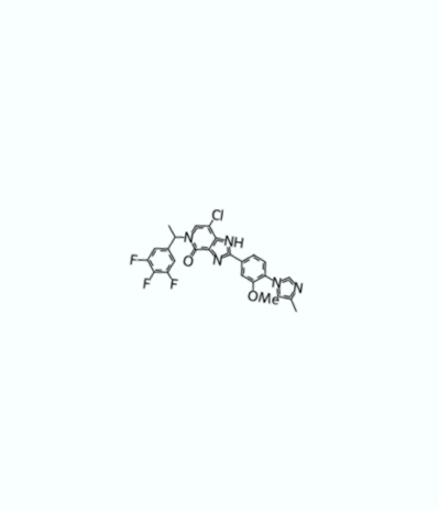 COc1cc(-c2nc3c(=O)n(C(C)c4cc(F)c(F)c(F)c4)cc(Cl)c3[nH]2)ccc1-n1cnc(C)c1